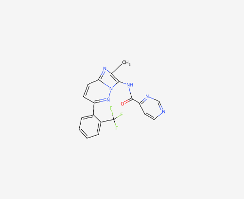 Cc1nc2ccc(-c3ccccc3C(F)(F)F)nn2c1NC(=O)c1ccncn1